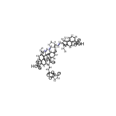 CCN1/C(=C/C=C2\CCCC(/C=C/C3=[N+](CC)c4ccc5c(S(=O)(=O)O)cccc5c4C3(C)C)=C2Sc2ccc(NC(=O)CCCC(=O)ON3C(=O)CCC3=O)cc2)C(C)(C)c2c1ccc1c(S(=O)(=O)O)cccc21